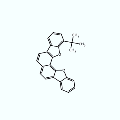 CC(C)(C)c1cccc2c1oc1c2ccc2ccc3c4ccccc4oc3c21